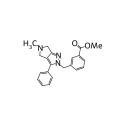 COC(=O)c1cccc(Cn2nc3c(c2-c2ccccc2)CN(C)C3)c1